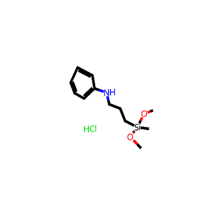 CO[Si](C)(CCCNc1ccccc1)OC.Cl